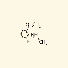 C=CCNc1c(F)cccc1C(=O)CC